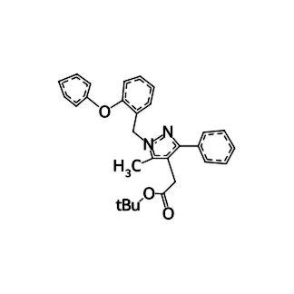 Cc1c(CC(=O)OC(C)(C)C)c(-c2ccccc2)nn1Cc1ccccc1Oc1ccccc1